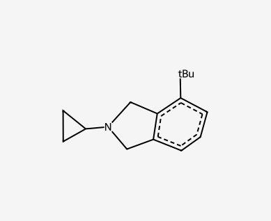 CC(C)(C)c1cccc2c1CN(C1CC1)C2